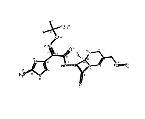 CCNCC1=CN2C(=O)C(NC(=O)/C(=N\OC(C)(C)C(=O)O)c3csc(N)n3)[C@H]2SC1